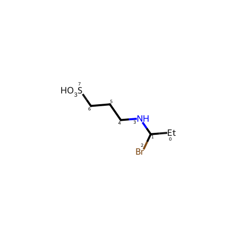 CCC(Br)NCCCS(=O)(=O)O